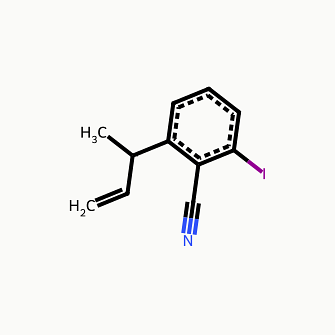 C=C[C](C)c1cccc(I)c1C#N